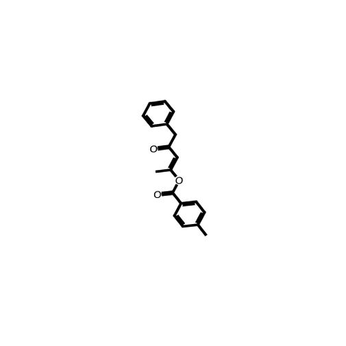 C/C(=C\C(=O)Cc1ccccc1)OC(=O)c1ccc(C)cc1